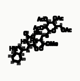 COC(=O)C(CSC1OC(COC(C)=O)C(OC(C)=O)C(OC(C)=O)C1OC(C)=O)NC(=O)C(Cc1c[nH]c2ccccc12)NC(=O)OC(C)(C)C